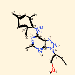 CCC(COC)n1nnc2c(Nc3c(C)cc(C)cc3C)nc(C)nc21